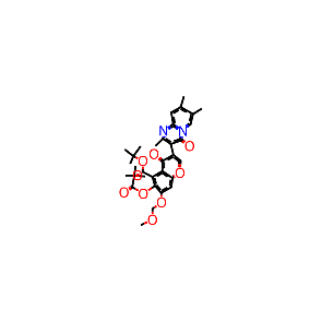 COCOc1cc2occ(-c3c(C)nc4cc(C)c(C)cn4c3=O)c(=O)c2c(C(=O)OC(C)(C)C)c1OC(=O)C(C)(C)C